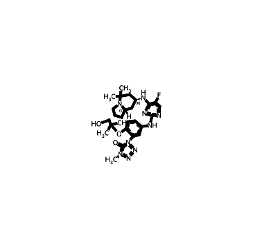 Cn1nnn(-c2cc(Nc3ncc(F)c(N[C@@H]4C[C@@H]5CCCN5C(C)(C)C4)n3)ccc2OC(C)(C)CO)c1=O